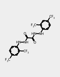 O=C(NNc1ccc(C(F)(F)F)cc1C(F)(F)F)C(=O)NNc1ccc(C(F)(F)F)cc1C(F)(F)F